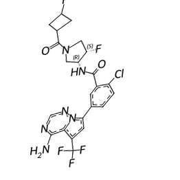 Nc1ncnn2c(-c3ccc(Cl)c(C(=O)N[C@@H]4CN(C(=O)C5CC(F)C5)C[C@@H]4F)c3)cc(C(F)(F)F)c12